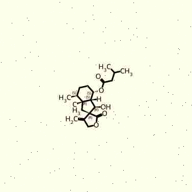 C=C1COC(=O)[C@]12C[C@@]1(C)[C@H]([C@@H](OC(=O)CC(C)C)CC[C@@H]1C)[C@H]2O